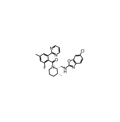 Cc1cc(F)c(C(=O)N2CCC[C@@H](C)[C@H]2CNc2nc3ccc(Cl)cc3o2)c(-c2ncccn2)c1